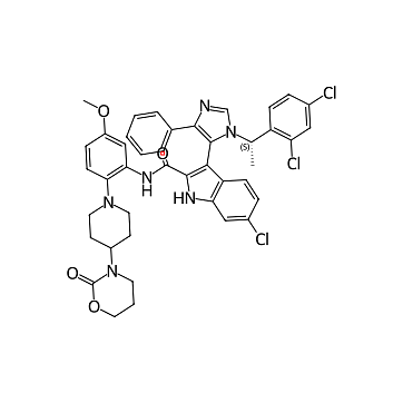 COc1ccc(N2CCC(N3CCCOC3=O)CC2)c(NC(=O)c2[nH]c3cc(Cl)ccc3c2-c2c(-c3ccccc3)ncn2[C@@H](C)c2ccc(Cl)cc2Cl)c1